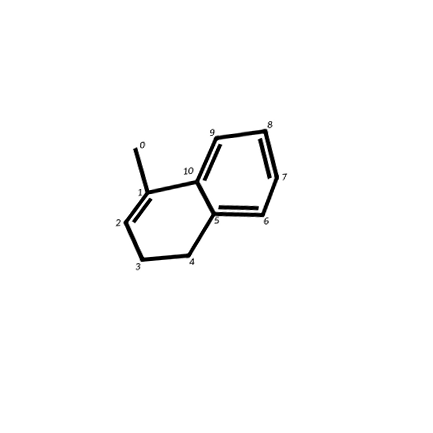 CC1=CCCc2ccccc21